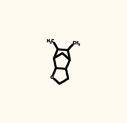 CC1C(C)C2CC1C1CCOC21